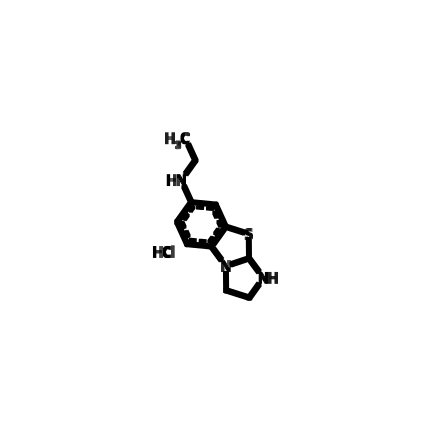 CCNc1ccc2c(c1)SC1NCCN21.Cl